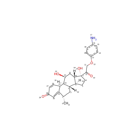 C[C@H]1C[C@H]2[C@@H]3CC[C@](O)(C(=O)COc4ccc(N)cc4)[C@H]3C[C@H](O)[C@@H]2C2C=CC(=O)C=C21